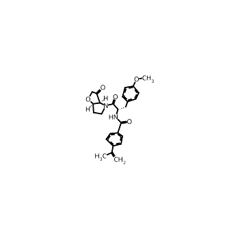 C=C(C)c1ccc(C(=O)N[C@@H](Cc2ccc(OC)cc2)C(=O)N2CC[C@H]3OCC(=O)[C@H]32)cc1